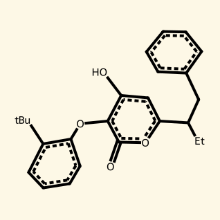 CCC(Cc1ccccc1)c1cc(O)c(Oc2ccccc2C(C)(C)C)c(=O)o1